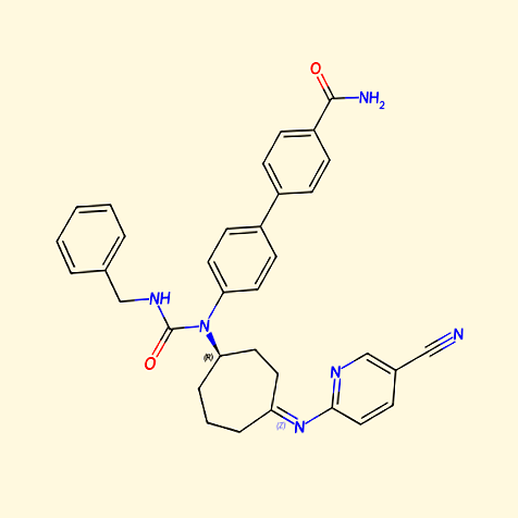 N#Cc1ccc(/N=C2/CCC[C@@H](N(C(=O)NCc3ccccc3)c3ccc(-c4ccc(C(N)=O)cc4)cc3)CC2)nc1